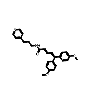 COc1ccc(C(=CC=CC(=O)NCCCc2ccncc2)c2ccc(OC)cc2)cc1